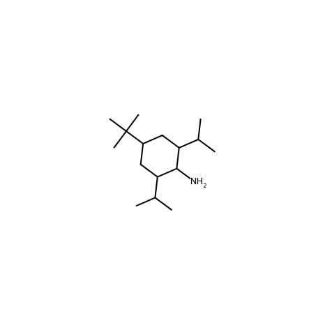 CC(C)C1CC(C(C)(C)C)CC(C(C)C)C1N